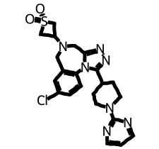 O=S1(=O)CC(N2Cc3cc(Cl)ccc3-n3c(nnc3C3CCN(c4ncccn4)CC3)C2)C1